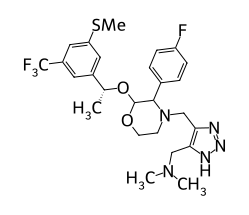 CSc1cc([C@@H](C)OC2OCCN(Cc3nn[nH]c3CN(C)C)C2c2ccc(F)cc2)cc(C(F)(F)F)c1